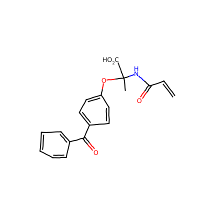 C=CC(=O)NC(C)(Oc1ccc(C(=O)c2ccccc2)cc1)C(=O)O